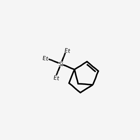 CC[Si](CC)(CC)C12C=CC(CC1)C2